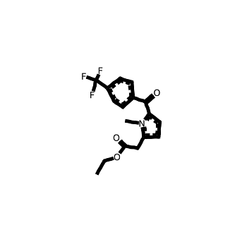 CCOC(=O)Cc1ccc(C(=O)c2ccc(C(F)(F)F)cc2)n1C